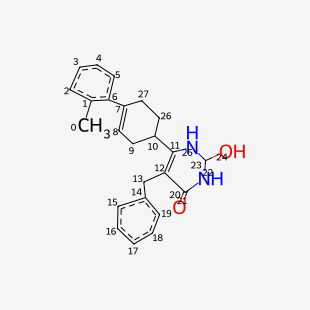 Cc1ccccc1C1=CCC(C2=C(Cc3ccccc3)C(=O)NC(O)N2)CC1